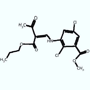 CCCOC(=O)C(=CNc1cc(Cl)cc(C(=O)OC)c1Cl)C(C)=O